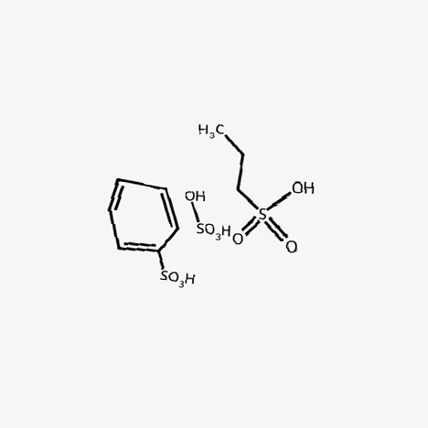 CCCS(=O)(=O)O.O=S(=O)(O)O.O=S(=O)(O)c1ccccc1